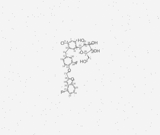 OC[C@H]1O[C@@H](c2ccc(Cl)c(Cc3ccc(OCc4cc5c(F)cccc5o4)c(F)c3)c2)[C@H](O)[C@@H](O)[C@@H]1O